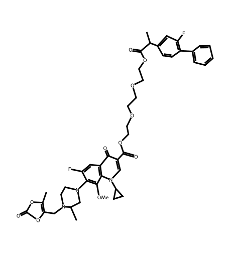 COc1c(N2CCN(Cc3oc(=O)oc3C)C(C)C2)c(F)cc2c(=O)c(C(=O)OCCOCCOCCOC(=O)C(C)c3ccc(-c4ccccc4)c(F)c3)cn(C3CC3)c12